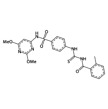 COc1cc(NS(=O)(=O)c2ccc(NC(=S)NC(=O)c3ccccc3C)cc2)nc(OC)n1